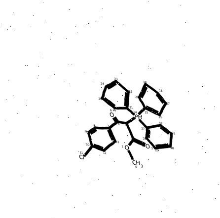 COC(=O)C(C(=O)c1ccc(Cl)cc1)[PH](c1ccccc1)(c1ccccc1)c1ccccc1